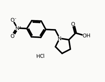 Cl.O=C(O)C1CCCN1Cc1ccc([N+](=O)[O-])cc1